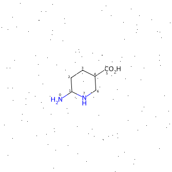 NC1CCC(C(=O)O)CN1